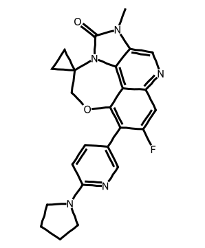 Cn1c(=O)n2c3c4c(c(-c5ccc(N6CCCC6)nc5)c(F)cc4ncc31)OCC21CC1